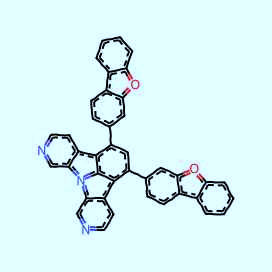 c1ccc2c(c1)oc1cc(-c3cc(-c4ccc5c(c4)oc4ccccc45)c4c5ccncc5n5c6cnccc6c3c45)ccc12